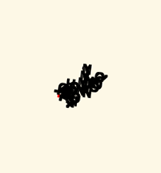 CCOC(=O)Cn1c(N=CN(C)C)nc2c(ncn2[C@@H]2O[C@@H]3CO[Si](C(C)(C)C)(C(C)(C)C)O[C@H]3[C@H]2O[Si](C)(C)C(C)(C)C)c1=O